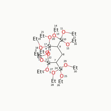 CCO[Si](OCC)(OCC)C(CC([Si](OCC)(OCC)OCC)[Si](OCC)(OCC)OCC)[Si](OCC)(OCC)OCC